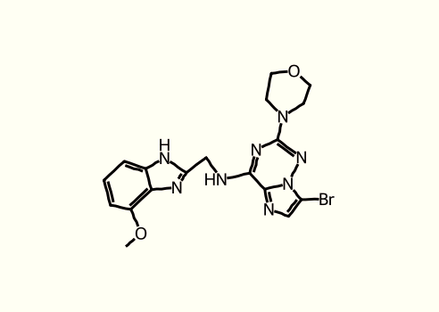 COc1cccc2[nH]c(CNc3nc(N4CCOCC4)nn4c(Br)cnc34)nc12